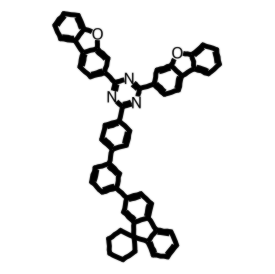 c1cc(-c2ccc(-c3nc(-c4ccc5c(c4)oc4ccccc45)nc(-c4ccc5c(c4)oc4ccccc45)n3)cc2)cc(-c2ccc3c(c2)C2(CCCCC2)c2ccccc2-3)c1